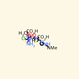 CNCCNc1ccc[n+](CC2=C(C(=O)O)N3C(=O)[C@@H](NC(=O)/C(=N\O[C@@H](C)C(=O)O)c4nc(N)sc4Cl)[C@H]3SC2)c1